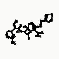 Nc1nc(/C(=N/O)C(=O)N[C@@H]2C(=O)N3C(C(=O)O)=C(SCc4csnn4)CS[C@@H]23)cs1